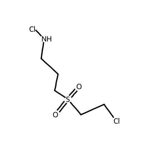 O=S(=O)(CCCl)CCCNCl